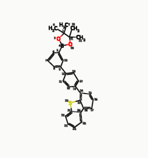 CC1(C)OB(c2cccc(-c3ccc(-c4cccc5c4sc4ccccc45)cc3)c2)OC1(C)C